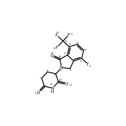 O=C1CCC(N2Cc3c(F)ccc(C(F)(F)F)c3C2=O)C(=O)N1